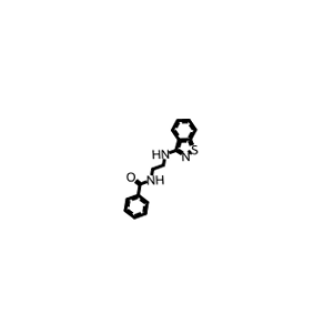 O=C(NCCNc1nsc2ccccc12)c1ccccc1